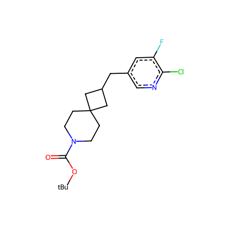 CC(C)(C)OC(=O)N1CCC2(CC1)CC(Cc1cnc(Cl)c(F)c1)C2